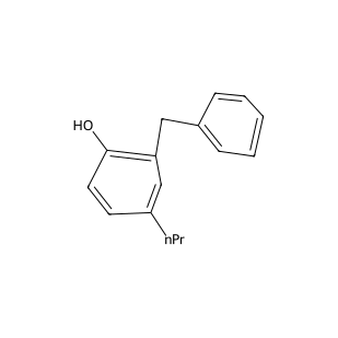 CCCc1ccc(O)c(Cc2ccccc2)c1